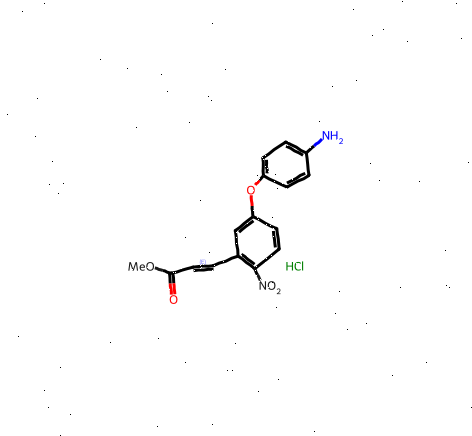 COC(=O)/C=C/c1cc(Oc2ccc(N)cc2)ccc1[N+](=O)[O-].Cl